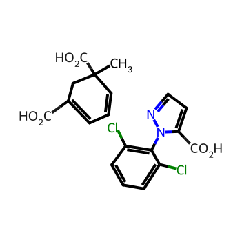 CC1(C(=O)O)C=CC=C(C(=O)O)C1.O=C(O)c1ccnn1-c1c(Cl)cccc1Cl